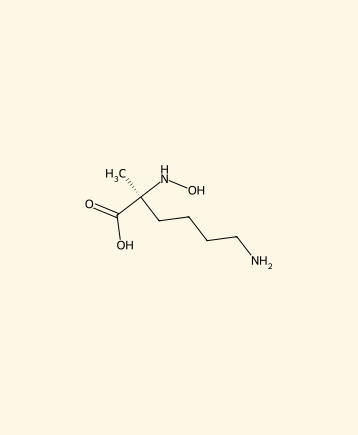 C[C@@](CCCCN)(NO)C(=O)O